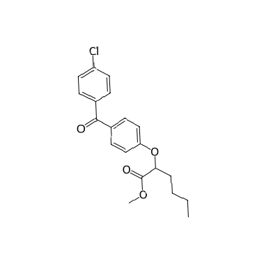 CCCCC(Oc1ccc(C(=O)c2ccc(Cl)cc2)cc1)C(=O)OC